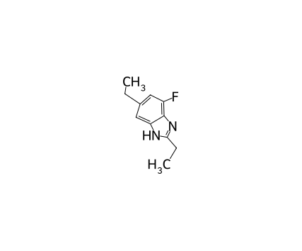 CCc1cc(F)c2nc(CC)[nH]c2c1